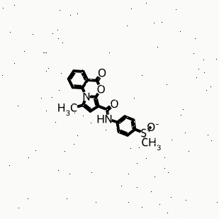 Cc1cc(C(=O)Nc2ccc([S+](C)[O-])cc2)c2oc(=O)c3ccccc3n12